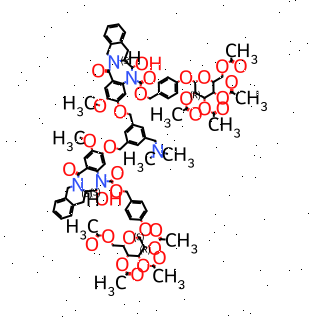 COc1cc2c(cc1OCc1cc(COc3cc4c(cc3OC)C(=O)N3Cc5ccccc5C[C@H]3[C@H](O)N4C(=O)OCc3ccc(O[C@@H]4OC(COC(C)=O)C(OC(C)=O)C(OC(C)=O)[C@H]4OC(C)=O)cc3)cc(CN(C)C)c1)N(C(=O)OCc1ccc(OC3OC(COC(C)=O)C(OC(C)=O)C(OC(C)=O)[C@H]3OC(C)=O)cc1)C(O)[C@@H]1Cc3ccccc3CN1C2=O